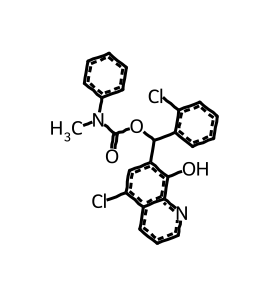 CN(C(=O)OC(c1ccccc1Cl)c1cc(Cl)c2cccnc2c1O)c1ccccc1